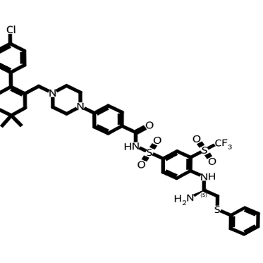 CC1(C)CCC(c2ccc(Cl)cc2)=C(CN2CCN(c3ccc(C(=O)NS(=O)(=O)c4ccc(N[C@H](N)CSc5ccccc5)c(S(=O)(=O)C(F)(F)F)c4)cc3)CC2)C1